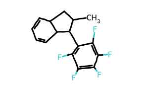 CC1CC2C=CC=CC2C1c1c(F)c(F)c(F)c(F)c1F